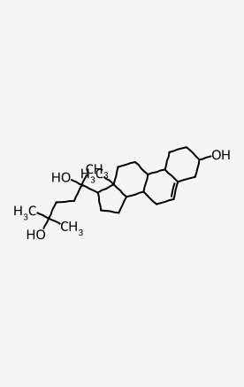 CC(C)(O)CCC(C)(O)C1CCC2C3CC=C4CC(O)CCC4C3CCC21C